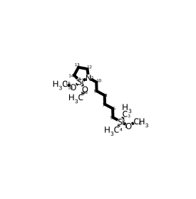 CO[Si](C)(C)CCCCCCN1CCC[Si]1(OC)OC